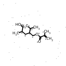 C=C(C)C(=O)OCC(CC(C)CO)C(C)C